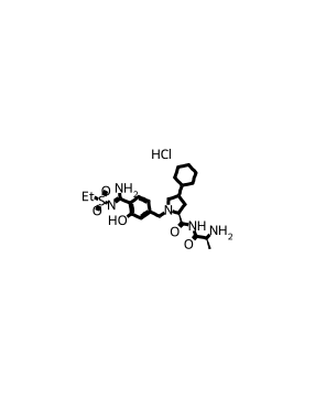 CCS(=O)(=O)N=C(N)c1ccc(CN2CC(C3CCCCC3)C[C@H]2C(=O)NC(=O)[C@H](C)N)cc1O.Cl